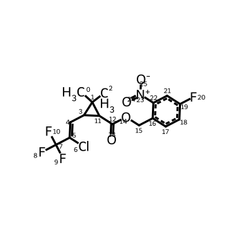 CC1(C)C(C=C(Cl)C(F)(F)F)C1C(=O)OCc1ccc(F)cc1[N+](=O)[O-]